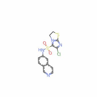 O=S(=O)(Nc1ccc2cnccc2c1)c1c(Cl)nc2n1CCS2